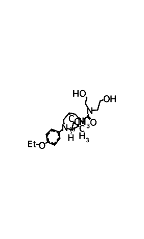 CCOc1ccc(N2CC3CN(C(=O)N(CCO)CCO)C[C@@H]2C(C)(C)C3)cc1